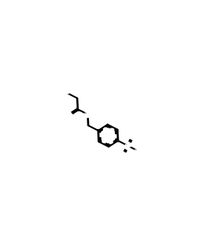 NS(=O)(=O)c1ccc(CNC(=O)CCl)cc1